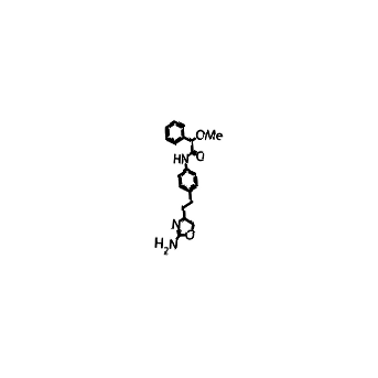 COC(C(=O)Nc1ccc(CCC2COC(N)=N2)cc1)c1ccccc1